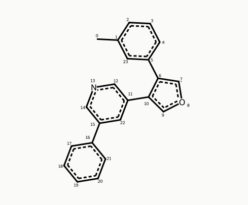 Cc1cccc(-c2[c]occ2-c2cncc(-c3ccccc3)c2)c1